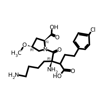 CO[C@@H]1C[C@@H](C(=O)O)N(C(=O)[C@@](N)(CCCCN)C(CCc2ccc(Cl)cc2)C(=O)O)C1